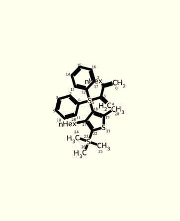 C=C(CCCCCC)C(=C)S(c1ccccc1)(c1ccccc1)c1c(C)sc(S(C)(C)C)c1CCCCCC